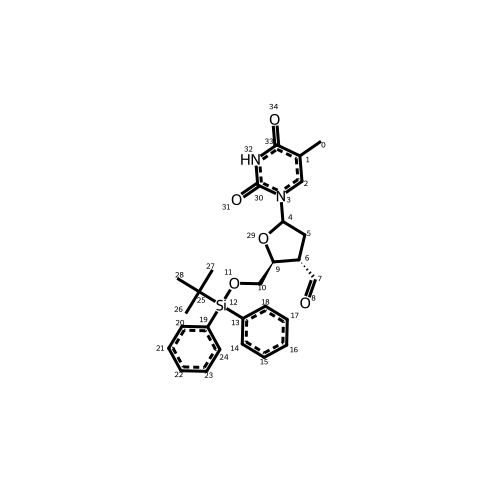 Cc1cn(C2C[C@H](C=O)[C@@H](CO[Si](c3ccccc3)(c3ccccc3)C(C)(C)C)O2)c(=O)[nH]c1=O